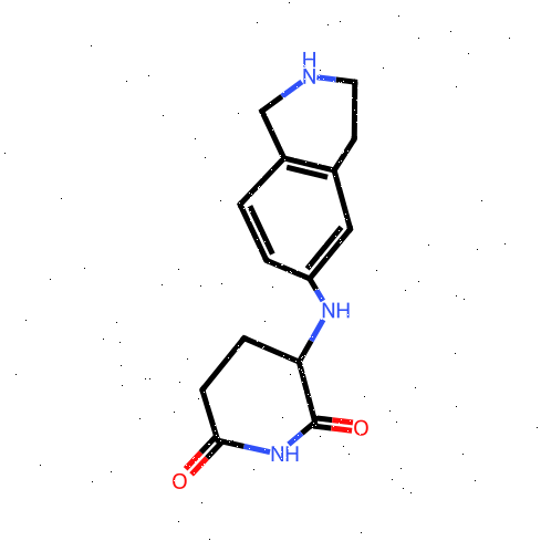 O=C1CCC(Nc2ccc3c(c2)CCNC3)C(=O)N1